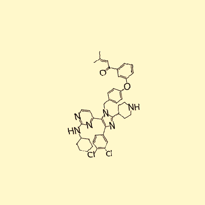 CC(C)=CC(=O)c1cccc(Oc2ccc(Cn3c(C4CCNCC4)nc(-c4ccc(Cl)c(Cl)c4)c3-c3ccnc(NC4CCCCC4)n3)cc2)c1